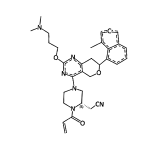 C=CC(=O)N1CCN(c2nc(OCCCN(C)C)nc3c2COC(c2cccc4cccc(C)c24)C3)C[C@@H]1CC#N